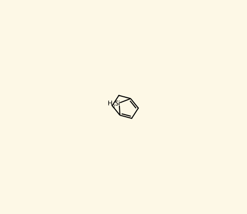 C1=C2CCC(=C1)[SiH2]2